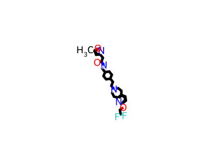 Cc1cc(CC(=O)/N=C/C2CCC(CCN3CCc4ccc(OCC(F)F)nc4CC3)CC2)no1